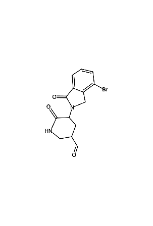 O=CC1CNC(=O)C(N2Cc3c(Br)cccc3C2=O)C1